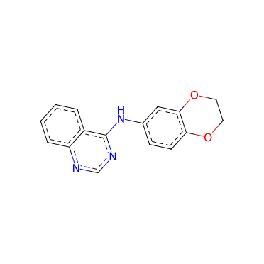 c1ccc2c(Nc3ccc4c(c3)OCCO4)ncnc2c1